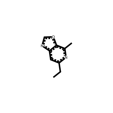 CCc1cc2ncoc2c(C)n1